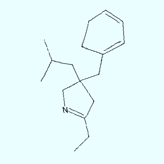 CCC1=NCC(CC2=CC=CCC2)(CC(C)C)C1